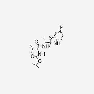 CC(C)OC(=O)N[C@H](C(=O)N[C@H](C)C1(C)Nc2ccc(F)cc2S1)C(C)C